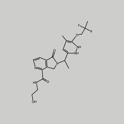 CC1=C(OCC(C)(F)F)NNC(C(C)N2Cc3c(ccnc3C(=O)NCCO)C2=O)=C1